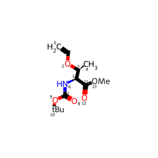 C=CO[C@H](C)[C@H](NC(=O)OC(C)(C)C)C(=O)OC